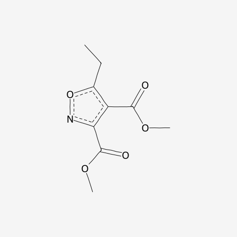 CCc1onc(C(=O)OC)c1C(=O)OC